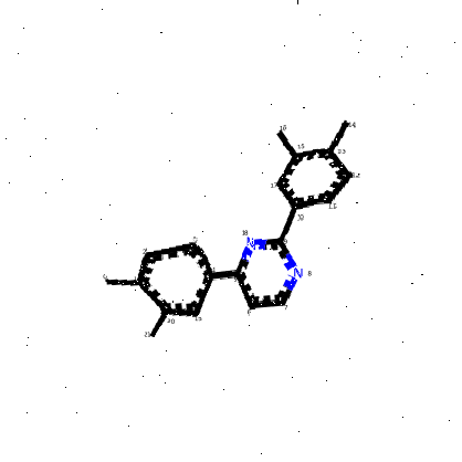 Cc1ccc(-c2ccnc(-c3ccc(C)c(C)c3)n2)cc1C